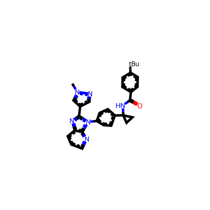 Cn1cc(-c2nc3cccnc3n2-c2ccc(C3(NC(=O)c4ccc(C(C)(C)C)cc4)CC3)cc2)cn1